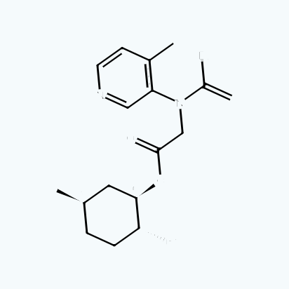 C=C(CC)N(CC(=O)O[C@@H]1C[C@H](C)CC[C@H]1C(C)C)c1cnccc1C